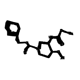 CCO[C@H]1CCN(C(=O)OCc2ccccc2)CC1NC(=O)OC(C)(C)C